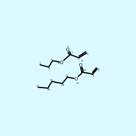 C=CC(=O)OCCC.C=CC(=O)OCCCCC